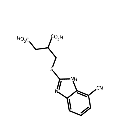 N#Cc1cccc2nc(SCC(CC(=O)O)C(=O)O)[nH]c12